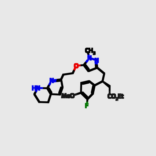 CCOC(=O)C[C@H](Cc1cc(OCCc2ccc3c(n2)NCCC3)n(C)n1)c1ccc(OC)c(F)c1